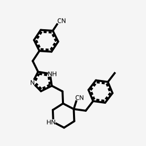 Cc1ccc(CC2(C#N)CCNCC2Cc2cnc(Cc3ccc(C#N)cc3)[nH]2)cc1